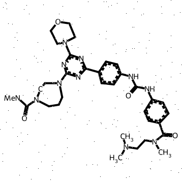 CNC(=O)N1CCCN(c2nc(-c3ccc(NC(=O)Nc4ccc(C(=O)N(C)CCN(C)C)cc4)cc3)nc(N3CCOCC3)n2)CC1